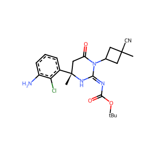 CC1(C#N)CC(N2C(=O)C[C@@](C)(c3cccc(N)c3Cl)N/C2=N\C(=O)OC(C)(C)C)C1